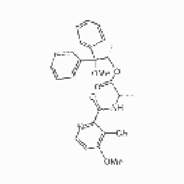 COc1ccnc(C(=O)N[C@@H](C)C(=O)O[C@@H](C)C(OC)(c2ccccc2)c2ccccc2)c1O